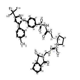 Cc1ccc(-c2cc(C(F)(F)F)nn2-c2ccc(S(=O)(=O)NC(=O)OC[C@@H]3CCCN3/[N+]([O-])=N/OCN3C(=O)c4ccccc4C3=O)cc2)cc1